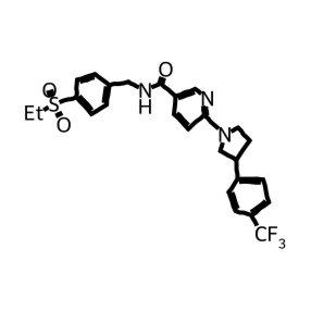 CCS(=O)(=O)c1ccc(CNC(=O)c2ccc(N3CCC(c4ccc(C(F)(F)F)cc4)C3)nc2)cc1